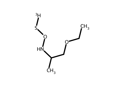 [3H]SONC(C)COCC